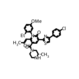 CCc1ccc(OC)cc1-n1c(C=C(C)C)c(C(=O)N2CCN[C@@H](C)C2)cc(-c2nc(-c3ccc(Cl)cc3)cs2)c1=O